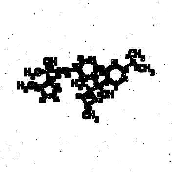 CC(C)c1ccc([C@](O)(c2cncc(C#CC(C)(O)c3nccn3C)c2)C2(C)CN(C)C2)cc1